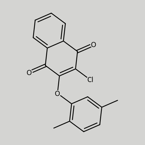 Cc1ccc(C)c(OC2=C(Cl)C(=O)c3ccccc3C2=O)c1